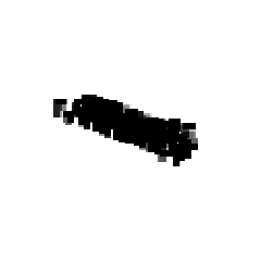 Fc1c(F)c(F)c(C(F)(F)C(F)(F)C(F)(F)C(F)(F)C(F)(F)C(F)(F)C(F)(F)C(F)(F)C(F)(F)C(F)(F)C(F)(F)C(F)(F)C(F)(F)F)c(F)c1F